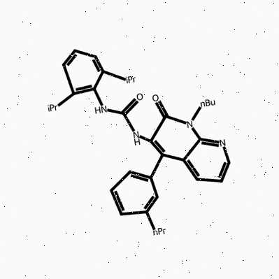 CCCCn1c(=O)c(NC(=O)Nc2c(C(C)C)cccc2C(C)C)c(-c2cccc(CCC)c2)c2cccnc21